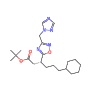 CC(C)(C)OC(=O)C[C@@H](CCCC1CCCCC1)c1nc(Cn2cncn2)no1